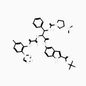 CN(C)[C@H]1CCN(C(=O)NC(c2ccccc2)C(NC(=O)C(=O)Nc2cc(Cl)ccc2-n2cnnn2)C(=O)Nc2ccc3[nH]c(C(=O)OC(C)(C)C)cc3c2)C1